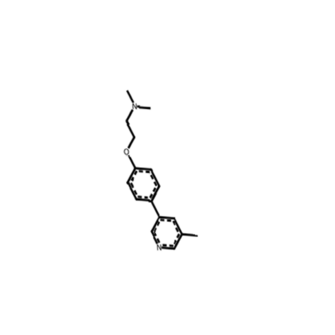 Cc1cncc(-c2ccc(OCCN(C)C)cc2)c1